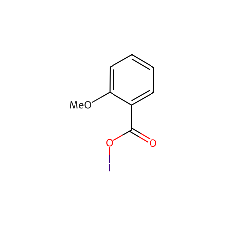 COc1ccccc1C(=O)OI